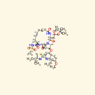 COc1ccc2c(O[C@@H]3C[C@H]4C(=O)N[C@]5(C(=O)NS(=O)(=O)C6CC6)CC5/C=C\CCCC(=O)N[C@@H](CC(=O)OC(C)(C)C)C(=O)N4C3)cc(-c3nc(C(C)C)cs3)nc2c1C